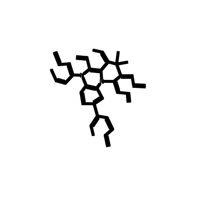 C=C/C=C\C(=C/C)c1ccc2c(c1)N1C(=C(C=C)N2C(/C=C\C)=C/C=C)/C(=C\C)C(C)(C)C(=C/C=C)/C1=C\C=C